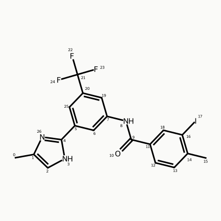 Cc1c[nH]c(-c2cc(NC(=O)c3ccc(C)c(I)c3)cc(C(F)(F)F)c2)n1